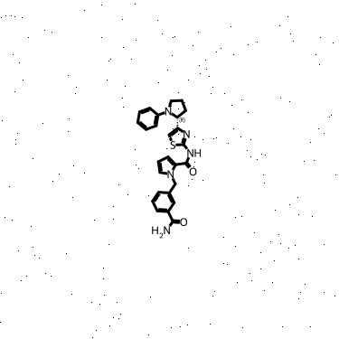 NC(=O)c1cccc(Cn2cccc2C(=O)Nc2nc([C@H]3CCCN3c3ccccc3)cs2)c1